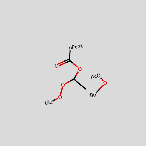 CC(=O)OOC(C)(C)C.CCCCCC(=O)OC(C)OOC(C)(C)C